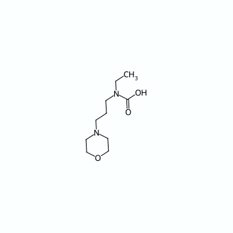 CCN(CCCN1CCOCC1)C(=O)O